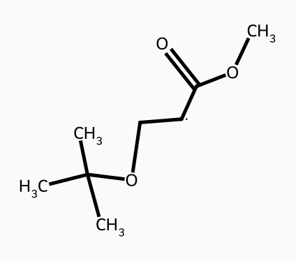 COC(=O)[CH]COC(C)(C)C